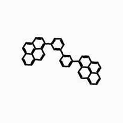 c1cc(-c2cccc(-c3ccc4ccc5cccc6ccc3c4c56)c2)cc(-c2ccc3ccc4cccc5ccc2c3c45)c1